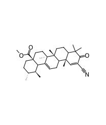 COC(=O)[C@]12CC[C@@H](C)[C@H](C)C1C1=CCC3[C@@]4(C)C=C(C#N)C(=O)C(C)(C)C4CC[C@@]3(C)[C@]1(C)CC2